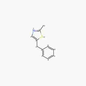 Cc1ncc(Cc2ccccc2)s1